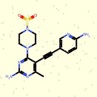 Cc1nc(N)nc(N2CCN([SH](=O)=O)CC2)c1C#Cc1ccc(N)nc1